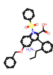 CC[C@H](N)c1ccccc1-c1c(C(=O)O)n(S(=O)(=O)c2ccccc2)c2ccc(OCc3ccccc3)cc12